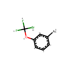 CC(=O)c1cccc(OC(F)(F)Br)c1